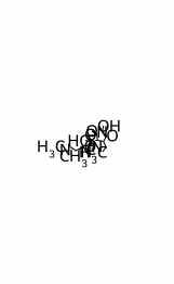 CCC1C(=O)N(O)C(=O)C1(N=C=NCCCN(C)C)S(=O)(=O)O